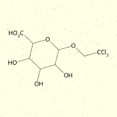 O=C(O)C1OC(OCC(Cl)(Cl)Cl)C(O)C(O)C1O